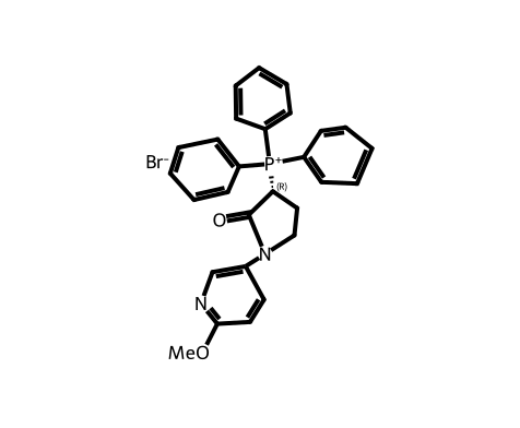 COc1ccc(N2CC[C@@H]([P+](c3ccccc3)(c3ccccc3)c3ccccc3)C2=O)cn1.[Br-]